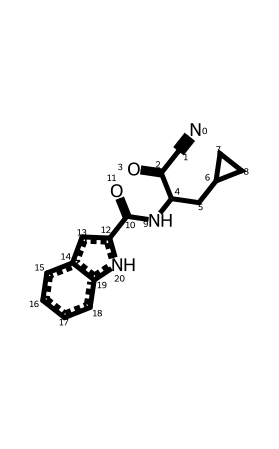 N#CC(=O)C(CC1CC1)NC(=O)c1cc2ccccc2[nH]1